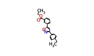 CCOC(=O)c1cccc(-c2cc(-c3ccc(CC)cc3)no2)c1